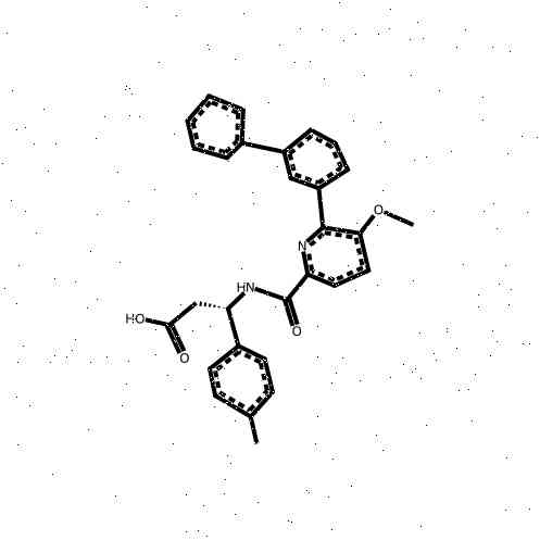 COc1ccc(C(=O)N[C@@H](CC(=O)O)c2ccc(C)cc2)nc1-c1cccc(-c2ccccc2)c1